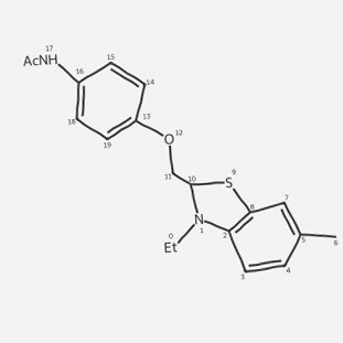 CCN1c2ccc(C)cc2SC1COc1ccc(NC(C)=O)cc1